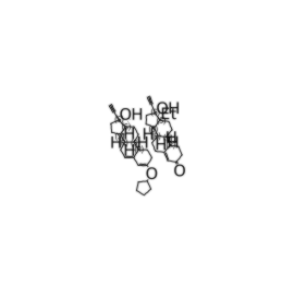 C#C[C@]1(O)CC[C@H]2[C@@H]3CC=C4C=C(OC5CCCC5)CC[C@@H]4[C@H]3CC[C@@]21C.C#C[C@]1(O)CC[C@H]2[C@@H]3CCC4=CC(=O)CC[C@@H]4[C@H]3CC[C@@]21CC